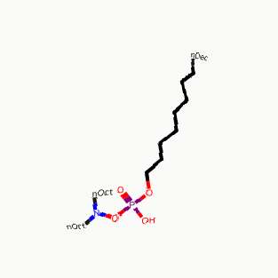 CCCCCCCCCCCCCCCCCCOP(=O)(O)ON(CCCCCCCC)CCCCCCCC